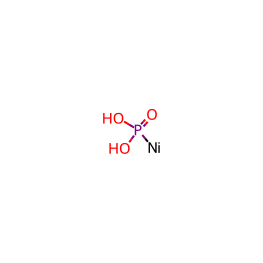 O=[P](O)(O)[Ni]